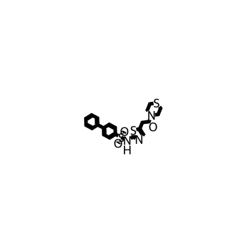 O=C(Cc1cnc(NS(=O)(=O)c2ccc(-c3ccccc3)cc2)s1)N1CCSCC1